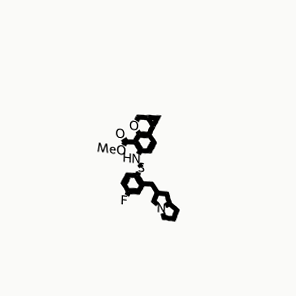 COC(=O)c1c(NSc2ccc(F)cc2CC2CC3CCCN3C2)ccc2c1OCC1CC21